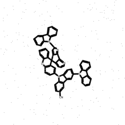 N#Cc1ccc2c(c1)c1cc(-n3c4ccccc4c4ccccc43)ccc1n2-c1ccc2c(c1)C1(c3ccccc3O2)c2cccnc2-c2ncc(-n3c4ccccc4c4ccccc43)cc21